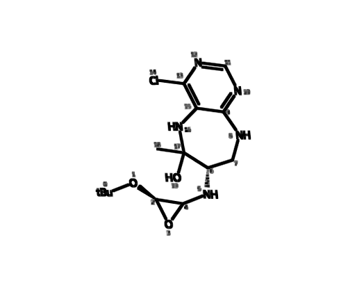 CC(C)(C)O[C@@H]1OC1N[C@H]1CNc2ncnc(Cl)c2NC1(C)O